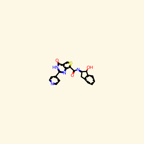 O=C(/N=C1\Cc2ccccc2C1O)c1scc2c(=O)[nH]c(-c3ccncc3)nc12